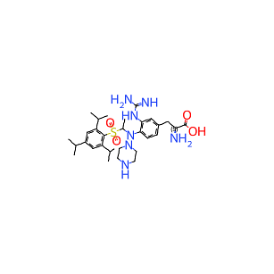 CC(C)c1cc(C(C)C)c(S(=O)(=O)C(C)N(c2ccc(C[C@H](N)C(=O)O)cc2NC(=N)N)N2CCNCC2)c(C(C)C)c1